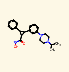 CC(C)N1CCN(c2cccc(C3C(C(=O)NO)C3c3ccccc3)c2)CC1